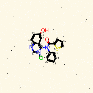 O=C(c1cccs1)N(C1=c2cc(O)ccc2=NCN1Cl)c1ccccc1